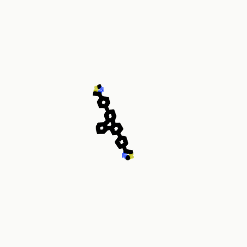 c1ccc2c(c1)c1cc(-c3ccc(-c4cscn4)cc3)ccc1c1ccc(-c3ccc(-c4cscn4)cc3)cc21